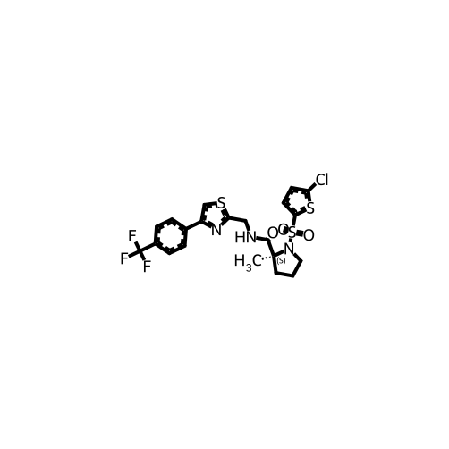 C[C@@]1(C(=O)NCc2nc(-c3ccc(C(F)(F)F)cc3)cs2)CCCN1S(=O)(=O)c1ccc(Cl)s1